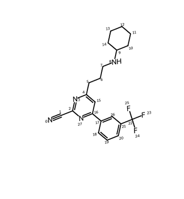 N#Cc1nc(CCCNC2CCCCC2)cc(-c2cccc(C(F)(F)F)c2)n1